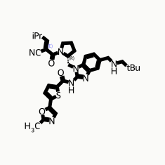 Cc1ncc(-c2ccc(C(=O)Nc3nc4cc(CNCC(C)(C)C)ccc4n3C[C@H]3CCCN3C(=O)/C(C#N)=C/C(C)C)s2)o1